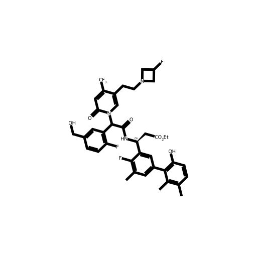 CCOC(=O)C[C@H](NC(=O)C(c1cc(CO)ccc1F)n1cc(CCN2CC(F)C2)c(C(F)(F)F)cc1=O)c1cc(-c2c(O)ccc(C)c2C)cc(C)c1F